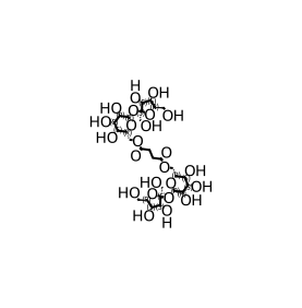 O=C(CCC(=O)OC[C@H]1O[C@H](O[C@]2(CO)O[C@H](CO)[C@@H](O)[C@@H]2O)[C@H](O)[C@@H](O)[C@@H]1O)OC[C@H]1O[C@H](O[C@]2(CO)O[C@H](CO)[C@@H](O)[C@@H]2O)[C@H](O)[C@@H](O)[C@@H]1O